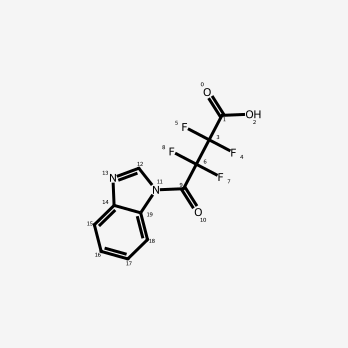 O=C(O)C(F)(F)C(F)(F)C(=O)n1cnc2ccccc21